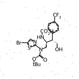 CC(C)(C)OC(=O)N(C[C@@H](NC(=O)O)[C@@H](CO)c1ccc(C(F)(F)F)cc1)c1ncc(Br)s1